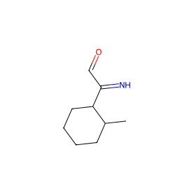 CC1CCCCC1C(=N)C=O